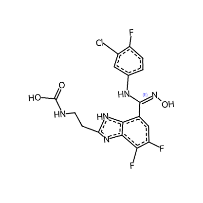 O=C(O)NCCc1nc2c(F)c(F)cc(/C(=N\O)Nc3ccc(F)c(Cl)c3)c2[nH]1